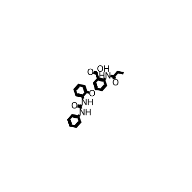 CCC(=O)Nc1ccc(Oc2ccccc2NC(=O)Nc2ccccc2)cc1C(=O)O